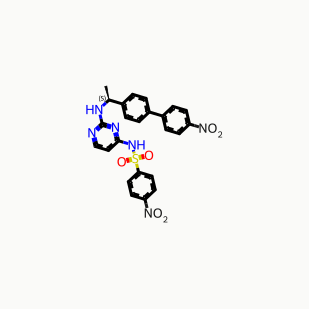 C[C@H](Nc1nccc(NS(=O)(=O)c2ccc([N+](=O)[O-])cc2)n1)c1ccc(-c2ccc([N+](=O)[O-])cc2)cc1